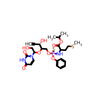 C#C[C@H](O)C(COP(=S)(NC(CCSC)C(=O)OC(C)C)Oc1ccccc1)OC(CO)n1ccc(=O)[nH]c1=O